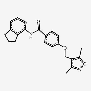 Cc1noc(C)c1COc1ccc(C(=O)Nc2cccc3c2CCC3)cc1